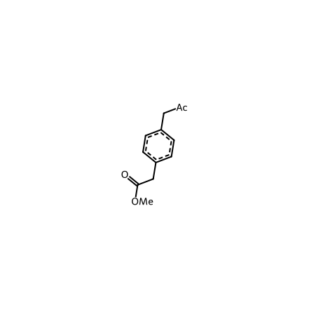 COC(=O)Cc1ccc(CC(C)=O)cc1